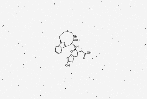 O=C(O)C[C@@H](CC1CC(O)=NO1)C(=O)N[C@H]1Cc2cn(c3ccccc23)CCCCCNC1=O